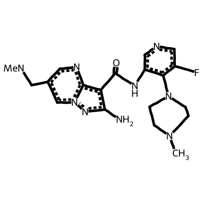 CNCc1cnc2c(C(=O)Nc3cncc(F)c3N3CCN(C)CC3)c(N)nn2c1